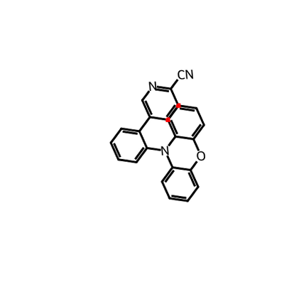 N#Cc1ccc(-c2ccccc2N2c3ccccc3Oc3ccccc32)cn1